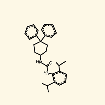 CC(C)c1cccc(C(C)C)c1NC(=O)NC1CCC(c2ccccc2)(c2ccccc2)CC1